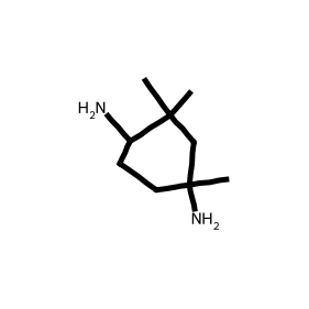 CC1(N)CCC(N)C(C)(C)C1